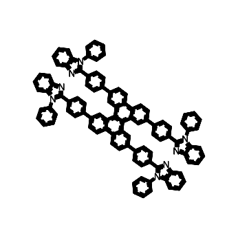 c1ccc(-n2c(-c3ccc(-c4ccc5c6ccc(-c7ccc(-c8nc9ccccc9n8-c8ccccc8)cc7)cc6c6c7cc(-c8ccc(-c9nc%10ccccc%10n9-c9ccccc9)cc8)ccc7c7ccc(-c8ccc(-c9nc%10ccccc%10n9-c9ccccc9)cc8)cc7c6c5c4)cc3)nc3ccccc32)cc1